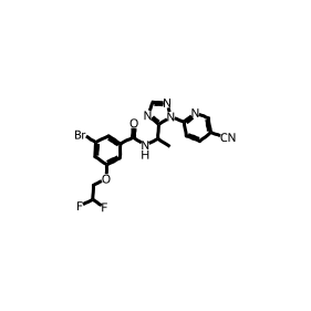 CC(NC(=O)c1cc(Br)cc(OCC(F)F)c1)c1ncnn1-c1ccc(C#N)cn1